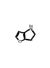 [C]1CNc2ccoc21